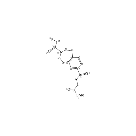 COC(=O)CCC(=O)c1ccc2c(c1)CCN(C(=O)CF)CC2